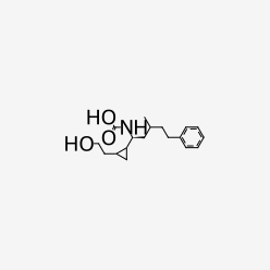 CC(CCc1ccccc1)C[C@H](NC(=O)O)C1CC1CCO